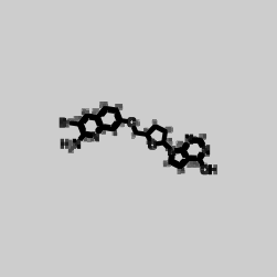 Nc1nc2cc(OCC3CCC(n4ccc5c(O)ncnc54)O3)ccc2cc1Br